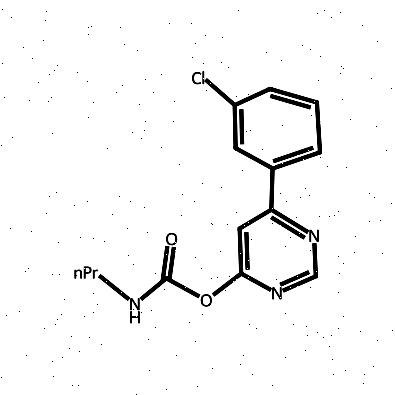 CCCNC(=O)Oc1cc(-c2cccc(Cl)c2)ncn1